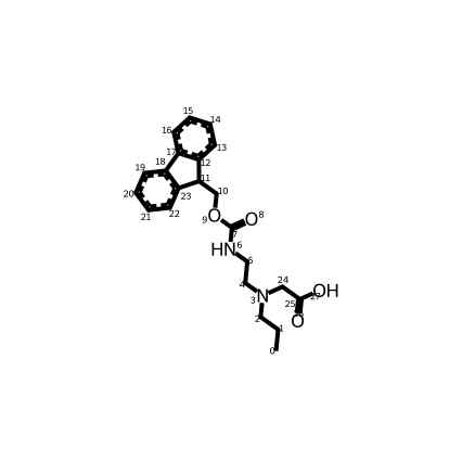 CCCN(CCNC(=O)OCC1c2ccccc2-c2ccccc21)CC(=O)O